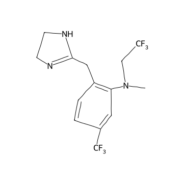 CN(CC(F)(F)F)c1cc(C(F)(F)F)ccc1CC1=NCCN1